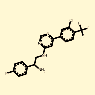 NC(CNc1cc(-c2ccc(C(F)(F)F)c(Cl)c2)ncn1)c1ccc(F)cc1